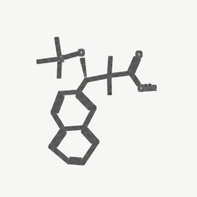 COC(=O)C(C)(C)[C@@H](O[Si](C)(C)C)c1ccc2ccccc2c1